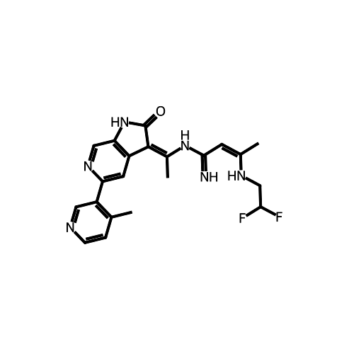 C/C(=C/C(=N)N/C(C)=C1\C(=O)Nc2cnc(-c3cnccc3C)cc21)NCC(F)F